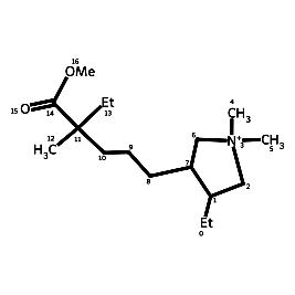 CCC1C[N+](C)(C)CC1CCCC(C)(CC)C(=O)OC